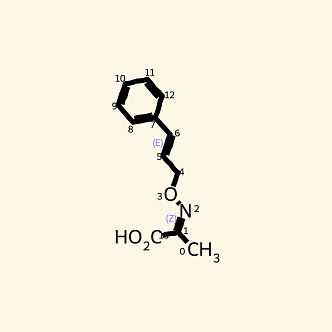 C/C(=N/OC/C=C/c1ccccc1)C(=O)O